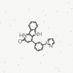 O=c1cc(-c2cccc(-n3cccn3)c2)c2[nH]c3ccccc3c2[nH]1